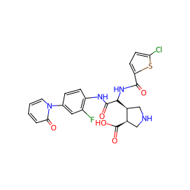 O=C(NC(C(=O)Nc1ccc(-n2ccccc2=O)cc1F)[C@H]1CNC[C@H]1C(=O)O)c1ccc(Cl)s1